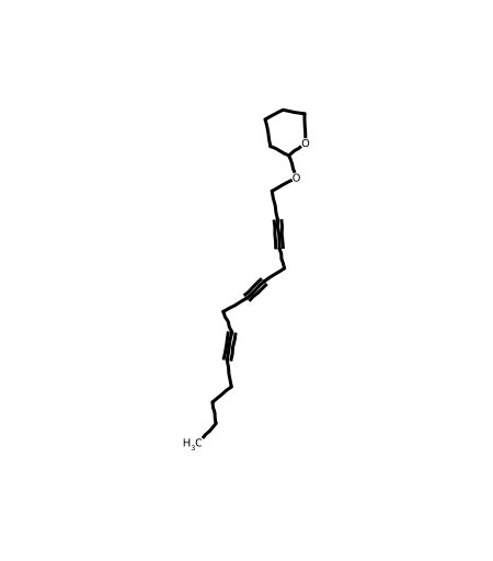 CCCCC#CCC#CCC#CCOC1CCCCO1